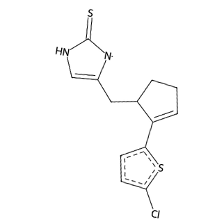 S=C1[N]C(CC2CCC=C2c2ccc(Cl)s2)=CN1